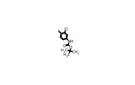 CC(C)(C)OC(=O)Nc1ccc(I)c(Cl)c1